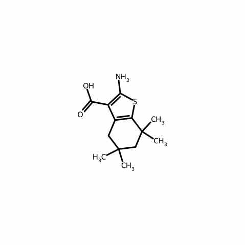 CC1(C)Cc2c(sc(N)c2C(=O)O)C(C)(C)C1